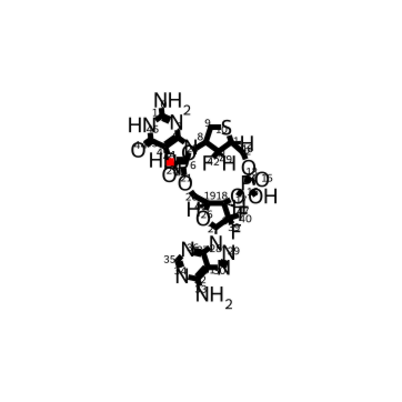 Nc1nc2c(ncn2[C@@]23CS[C@H](COP(=O)(O)O[C@@H]4[C@@H](COP(=O)(S)O2)O[C@@H](n2nnc5c(N)ncnc52)C4(F)F)[C@@H]3F)c(=O)[nH]1